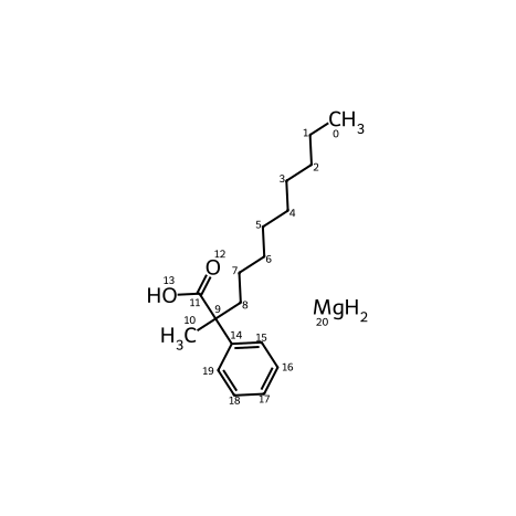 CCCCCCCCCC(C)(C(=O)O)c1ccccc1.[MgH2]